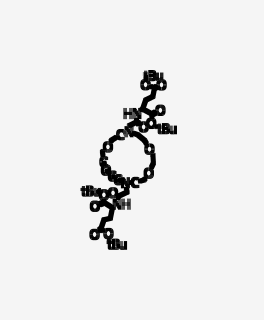 CC(C)(C)OC(=O)CCC(NC(=O)CN1CCOCCOCCN(CC(=O)NC(CCC(=O)OC(C)(C)C)C(=O)OC(C)(C)C)CCOCCOCC1)C(=O)OC(C)(C)C